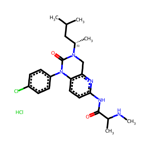 CNC(C)C(=O)Nc1ccc2c(n1)CN([C@@H](C)CC(C)C)C(=O)N2c1ccc(Cl)cc1.Cl